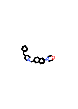 C1=C(CN2CCC(Cc3ccccc3)CC2)CCc2cc(N3CCOCC3)ccc21